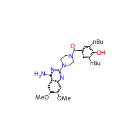 CCCCc1cc(C(=O)N2CCN(c3nc(N)c4cc(OC)c(OC)cc4n3)CC2)cc(CCCC)c1O